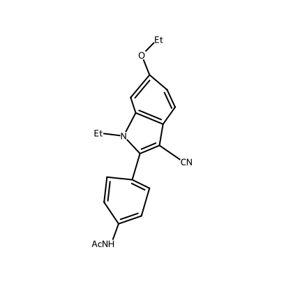 CCOc1ccc2c(C#N)c(-c3ccc(NC(C)=O)cc3)n(CC)c2c1